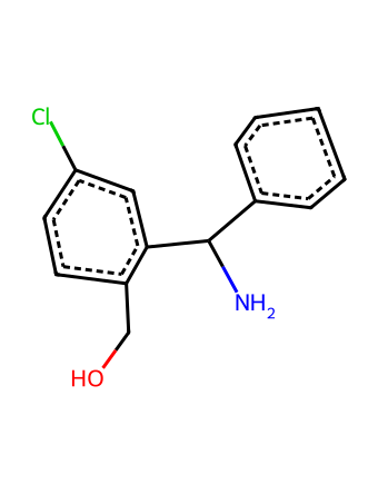 NC(c1ccccc1)c1cc(Cl)ccc1CO